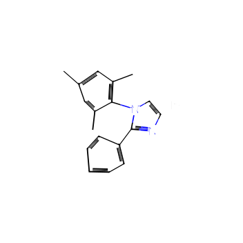 Cc1cc(C)c(-n2ccnc2-c2ccccc2)c(C)c1.[Ir]